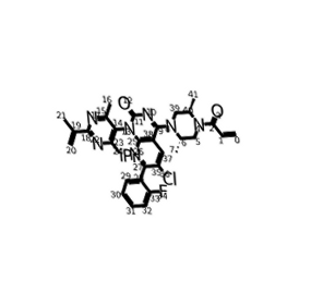 C=CC(=O)N1C[C@H](C)N(c2nc(=O)n(-c3c(C)nc(C(=C)C)nc3C(C)C)c3nc(-c4ccccc4F)c(Cl)cc23)C[C@H]1C